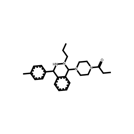 CCCN1NC(c2ccc(C)cc2)c2ccccc2C1N1CCN(C(=O)CC)CC1